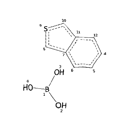 OB(O)O.c1ccc2cscc2c1